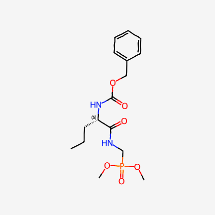 CCC[C@H](NC(=O)OCc1ccccc1)C(=O)NCP(=O)(OC)OC